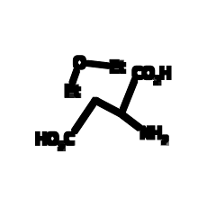 CCOCC.NC(CC(=O)O)C(=O)O